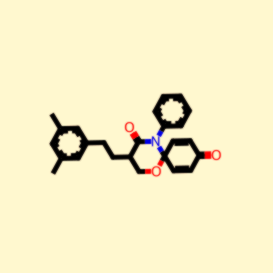 Cc1cc(C)cc(CCC2COC3(C=CC(=O)C=C3)N(c3ccccc3)C2=O)c1